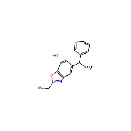 CC(C)(C)Cc1nc2cc(C(C(=O)O)c3ccccc3)ccc2o1.Cl